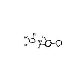 CC[C@H]1C[C@@H](NC(=O)c2ccc(N3CCCC3)cc2Cl)[C@@H](CC)N1C#N